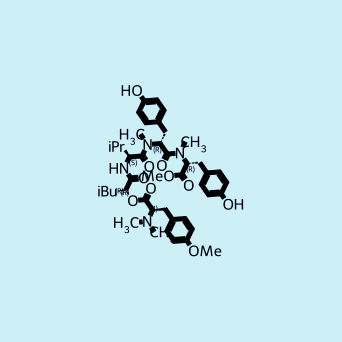 CC[C@@H](C)[C@@H](OC(=O)[C@@H](Cc1ccc(OC)cc1)N(C)C)C(=O)N[C@H](C(=O)N(C)[C@H](Cc1ccc(O)cc1)C(=O)N(C)[C@H](Cc1ccc(O)cc1)C(=O)OC)C(C)C